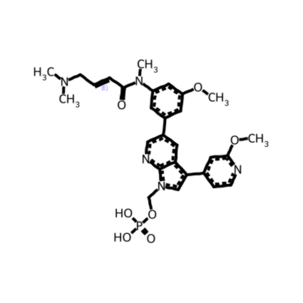 COc1cc(-c2cnc3c(c2)c(-c2ccnc(OC)c2)cn3COP(=O)(O)O)cc(N(C)C(=O)/C=C/CN(C)C)c1